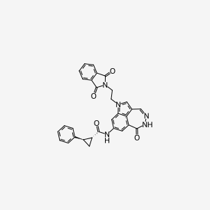 O=C1NN=Cc2cn(CCN3C(=O)c4ccccc4C3=O)c3cc(NC(=O)[C@@H]4C[C@H]4c4ccccc4)cc1c23